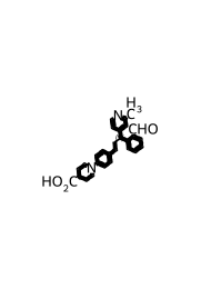 Cc1cc([C@H](CCc2ccc(N3CCC(C(=O)O)CC3)cc2)c2ccccc2C=O)ccn1